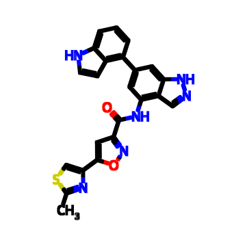 Cc1nc(-c2cc(C(=O)Nc3cc(-c4cccc5[nH]ccc45)cc4[nH]ncc34)no2)cs1